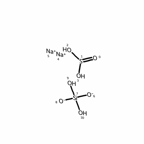 O=S(O)O.[Na+].[Na+].[O-][Si]([O-])(O)O